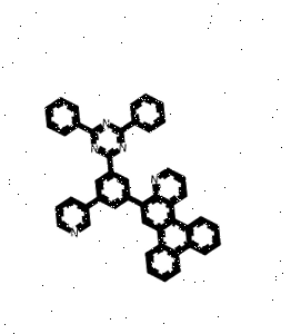 c1ccc(-c2nc(-c3ccccc3)nc(-c3cc(-c4cccnc4)cc(-c4cc5c6ccccc6c6ccccc6c5c5cccnc45)c3)n2)cc1